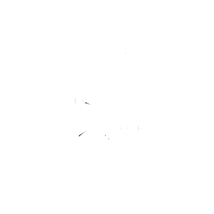 O=C(O)N1CCCC[C@H]1[C@@H](O)c1cccc(C(F)(F)F)c1